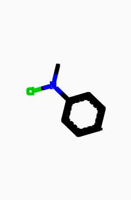 CN(Cl)c1cc[c]cc1